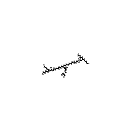 CCCCCC(CCCCC)CC(=O)OCCCCCCCCCC(CCCCCCCCCOC(=O)CC(CCCCC)CCCCC)OC(=O)CCCN(CC)CC